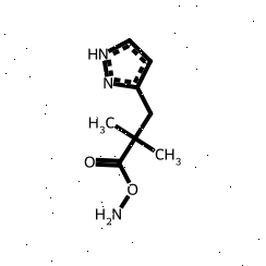 CC(C)(Cc1cc[nH]n1)C(=O)ON